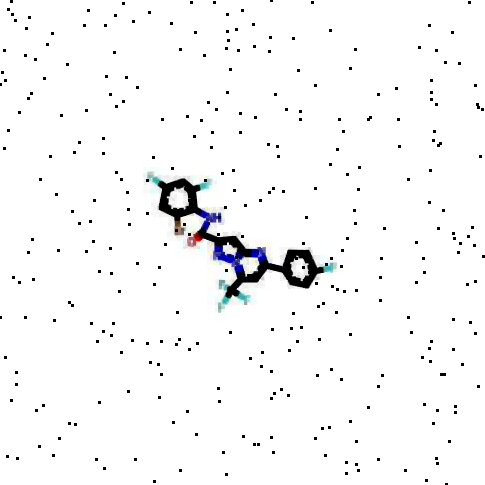 O=C(Nc1c(F)cc(F)cc1Br)c1cc2nc(-c3ccc(F)cc3)cc(C(F)(F)F)n2n1